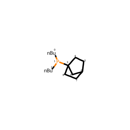 CCCCP(CCCC)C12CCC(CC1)C2